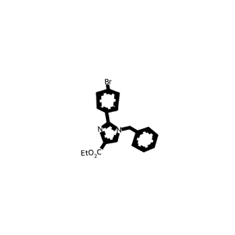 CCOC(=O)c1cn(Cc2ccccc2)c(-c2ccc(Br)cc2)n1